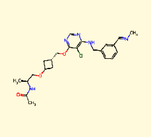 C/N=C/c1cccc(CNc2ncnc(OC[C@H]3C[C@H](OC[C@H](C)NC(C)=O)C3)c2Cl)c1